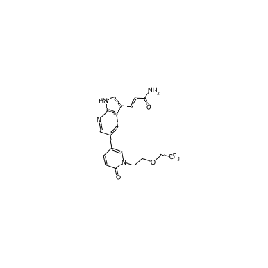 NC(=O)C=Cc1c[nH]c2ncc(-c3ccc(=O)n(CCOCC(F)(F)F)c3)cc12